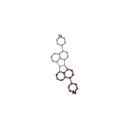 c1cc2c3c(ccc(-c4ccncc4)c3c1)C13c4ccc(-c5ccncc5)c5cccc(c45)C21c1cccc2c(-c4ccncc4)ccc3c12